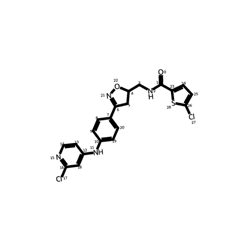 O=C(NCC1CC(c2ccc(Nc3ccnc(Cl)c3)cc2)=NO1)c1ccc(Cl)s1